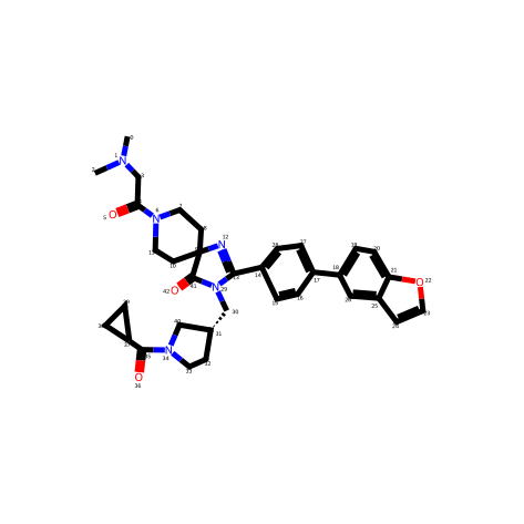 CN(C)CC(=O)N1CCC2(CC1)N=C(c1ccc(-c3ccc4occc4c3)cc1)N(C[C@@H]1CCN(C(=O)C3CC3)C1)C2=O